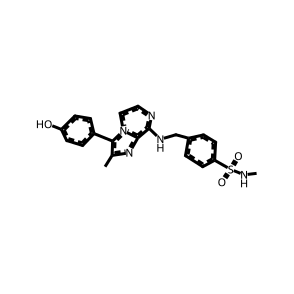 CNS(=O)(=O)c1ccc(CNc2nccn3c(-c4ccc(O)cc4)c(C)nc23)cc1